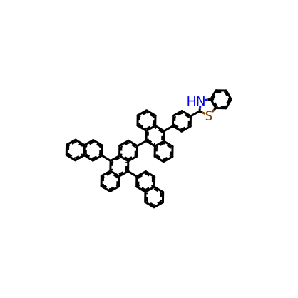 c1ccc2c(c1)NC(c1ccc(-c3c4ccccc4c(-c4ccc5c(-c6ccc7ccccc7c6)c6ccccc6c(-c6ccc7ccccc7c6)c5c4)c4ccccc34)cc1)S2